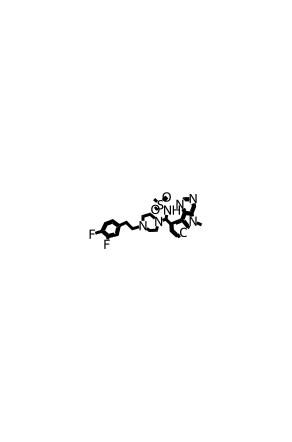 Cn1c2cncnc2c2c(C(NS(C)(=O)=O)N3CCN(CCc4ccc(F)c(F)c4)CC3)cccc21